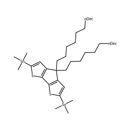 CCCCCCCCCCCCCCCCC1(CCCCCCCCCCCCCCCC)c2c[c]([Sn]([CH3])([CH3])[CH3])sc2-c2s[c]([Sn]([CH3])([CH3])[CH3])cc21